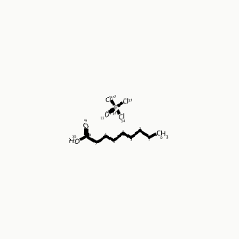 CCCCCCCCC(=O)O.O=P(Cl)(Cl)Cl